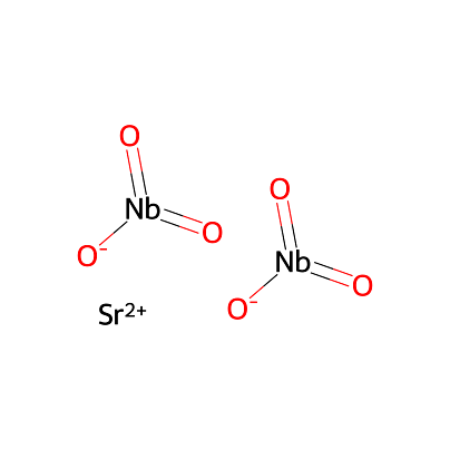 [O]=[Nb](=[O])[O-].[O]=[Nb](=[O])[O-].[Sr+2]